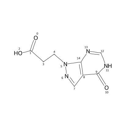 O=C(O)CCn1ncc2c(=O)[nH]cnc21